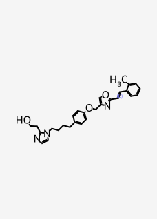 Cc1ccccc1/C=C/c1nc(COc2ccc(CCCCn3ccnc3CCO)cc2)co1